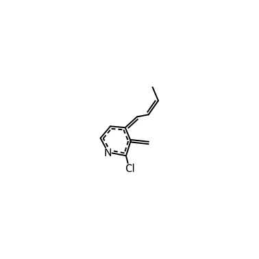 C=c1c(Cl)ncc/c1=C/C=C\C